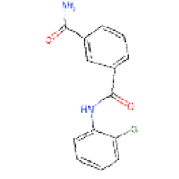 NC(=O)c1cccc(C(=O)Nc2ccccc2Cl)c1